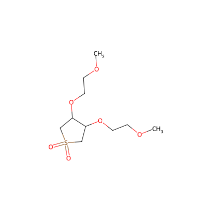 COCCOC1CS(=O)(=O)CC1OCCOC